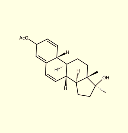 CC(=O)OC1C=C[C@H]2C(=C1)C=C[C@@H]1[C@@H]2CC[C@@]2(C)[C@H]1CC[C@]2(C)O